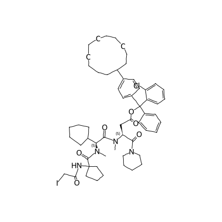 CN(C(=O)C1(NC(=O)CI)CCCC1)[C@H](C(=O)N(C)[C@@H](CC(=O)OC(c1ccccc1)(c1ccc(C2CCCCCCCCCCC2)cc1)c1ccccc1Cl)C(=O)N1CCCCC1)C1CCCCC1